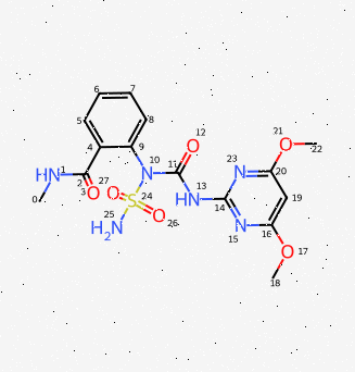 CNC(=O)c1ccccc1N(C(=O)Nc1nc(OC)cc(OC)n1)S(N)(=O)=O